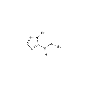 CC(C)n1ncnc1C(=O)OC(C)(C)C